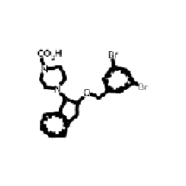 O=C(O)N1CCN(C2c3ccccc3CC2OCc2cc(Br)cc(Br)c2)CC1